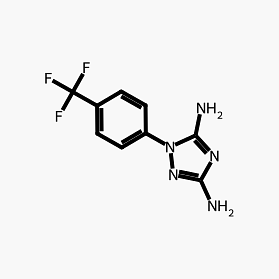 Nc1nc(N)n(-c2ccc(C(F)(F)F)cc2)n1